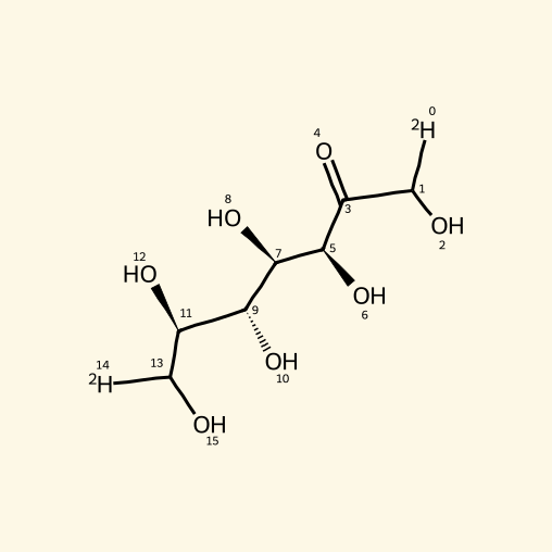 [2H]C(O)C(=O)[C@@H](O)[C@H](O)[C@H](O)[C@H](O)C([2H])O